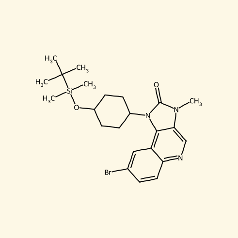 Cn1c(=O)n(C2CCC(O[Si](C)(C)C(C)(C)C)CC2)c2c3cc(Br)ccc3ncc21